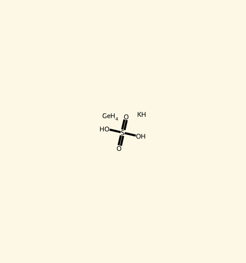 O=S(=O)(O)O.[GeH4].[KH]